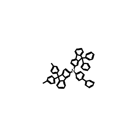 Cc1ccc(C2(c3ccc(C)cc3)c3ccccc3-c3cc(N(c4ccc(-c5ccccc5)cc4)c4ccc5c(c4)C(c4ccccc4)(c4ccccc4)c4ccccc4-5)ccc32)cc1